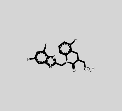 O=C(O)CC1Cc2c(Cl)cccc2N(Cc2nc3cc(F)cc(F)c3s2)C1=O